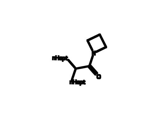 CCCCCCCC(CCCCCCC)C(=O)N1CCC1